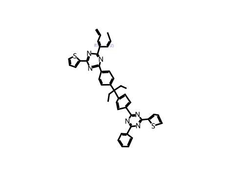 C=C/C=C(\C=C/C)c1nc(-c2ccc(C(CC)(CC)c3ccc(-c4nc(-c5ccccc5)nc(-c5cccs5)n4)cc3)cc2)nc(-c2cccs2)n1